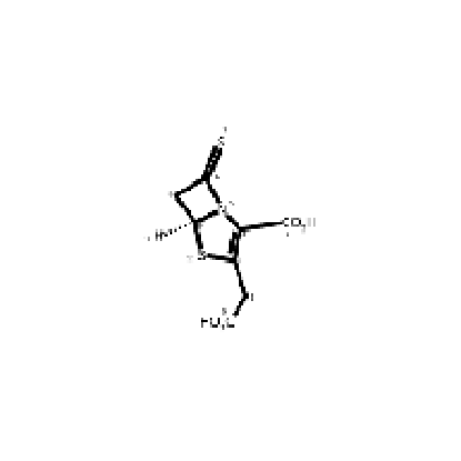 O=C(O)CC1=C(C(=O)O)N2C(=S)C[C@@H]2S1